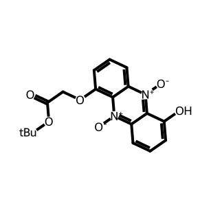 CC(C)(C)OC(=O)COc1cccc2c1[n+]([O-])c1cccc(O)c1[n+]2[O-]